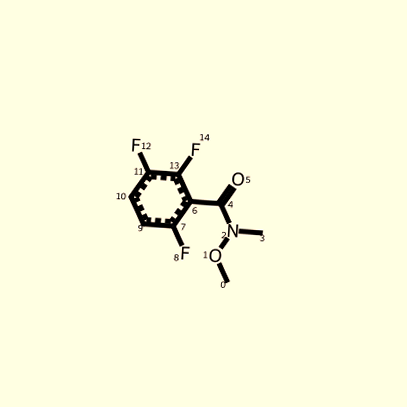 CON(C)C(=O)c1c(F)ccc(F)c1F